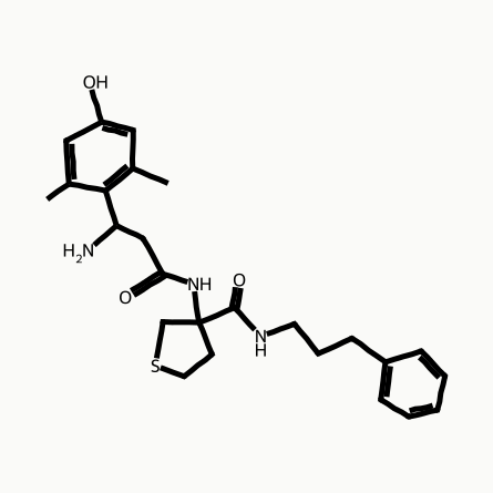 Cc1cc(O)cc(C)c1C(N)CC(=O)NC1(C(=O)NCCCc2ccccc2)CCSC1